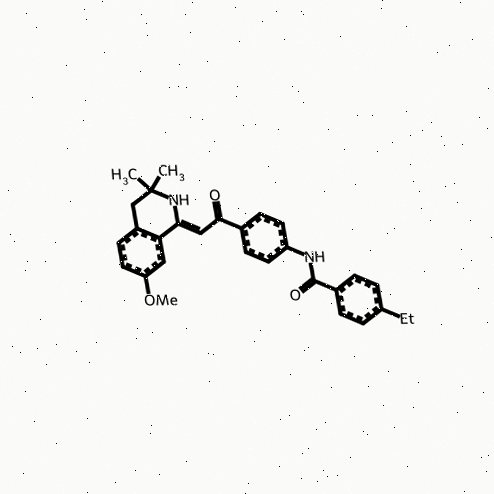 CCc1ccc(C(=O)Nc2ccc(C(=O)/C=C3\NC(C)(C)Cc4ccc(OC)cc43)cc2)cc1